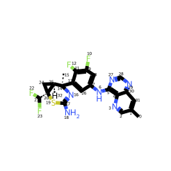 Cc1cnc2c(Nc3cc(F)c(F)c([C@@]4(C)N=C(N)S[C@@]5(C(F)F)C[C@@H]45)c3)ncnc2c1